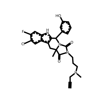 C#CCN(C)CCCN1C(=O)N2C(c3cccc(O)c3)c3[nH]c4cc(F)c(Cl)cc4c3CC2(C)C1=O